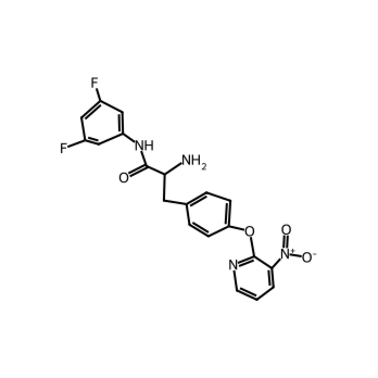 NC(Cc1ccc(Oc2ncccc2[N+](=O)[O-])cc1)C(=O)Nc1cc(F)cc(F)c1